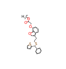 COC(=O)COc1cccc2c(CCSC(c3ccccc3)c3cccs3)coc12